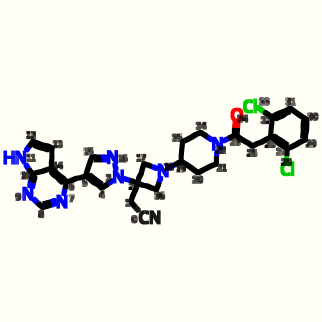 N#CCC1(n2cc(-c3ncnc4[nH]ccc34)cn2)CN(C2CCN(C(=O)Cc3c(Cl)cccc3Cl)CC2)C1